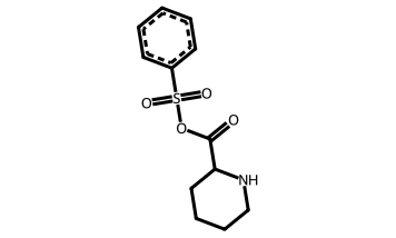 O=C(OS(=O)(=O)c1ccccc1)C1CCCCN1